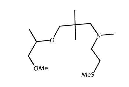 COCC(C)OCC(C)(C)CN(C)CCSC